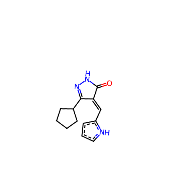 O=C1NN=C(C2CCCC2)/C1=C\c1ccc[nH]1